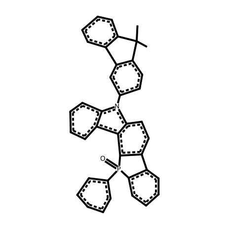 CC1(C)c2ccccc2-c2cc(-n3c4ccccc4c4c5c(ccc43)-c3ccccc3P5(=O)c3ccccc3)ccc21